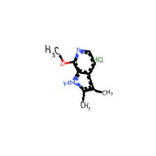 COc1nccc2c(C)c(C)[nH]c12.Cl